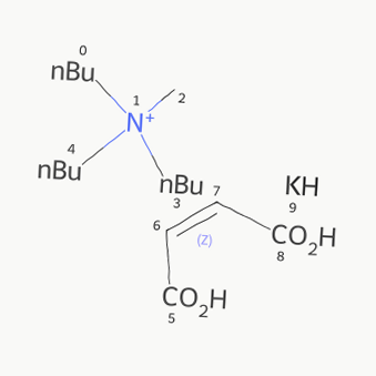 CCCC[N+](C)(CCCC)CCCC.O=C(O)/C=C\C(=O)O.[KH]